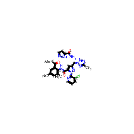 CNC(=O)c1cc(C#N)cc(C)c1NC(=O)c1cc(Cn2nnc(C(F)(F)F)n2)nn1-c1ncccc1Cl.NC(=O)c1ccn[nH]1